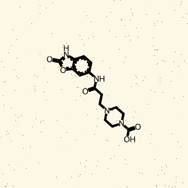 O=C(CCN1CCN(C(=O)O)CC1)Nc1ccc2[nH]c(=O)oc2c1